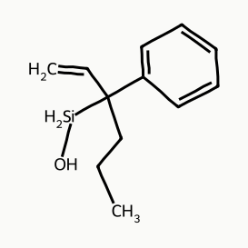 C=CC(CCC)([SiH2]O)c1ccccc1